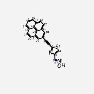 O/N=C/c1csc(C#Cc2cc3ccc4cccc5ccc(c2)c3c45)n1